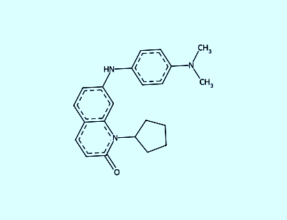 CN(C)c1ccc(Nc2ccc3ccc(=O)n(C4CCCC4)c3c2)cc1